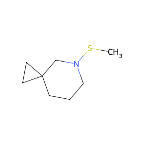 CSN1CCCC2(CC2)C1